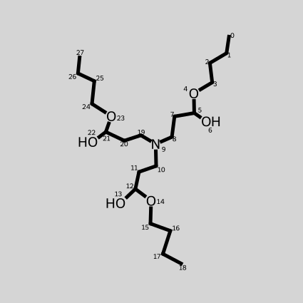 CCCCOC(O)CCN(CCC(O)OCCCC)CCC(O)OCCCC